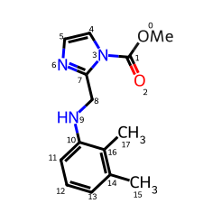 COC(=O)n1ccnc1CNc1cccc(C)c1C